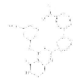 COc1cccc(Nc2cc(-c3cccc(-c4cccc(C(N)=O)c4)c3)nc3c2C(=O)NCC3)c1